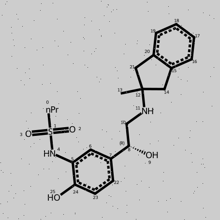 CCCS(=O)(=O)Nc1cc([C@@H](O)CNC2(C)Cc3ccccc3C2)ccc1O